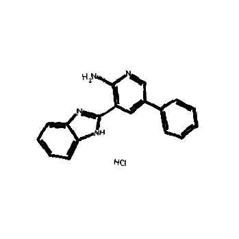 Cl.Nc1ncc(-c2ccccc2)cc1-c1nc2ccccc2[nH]1